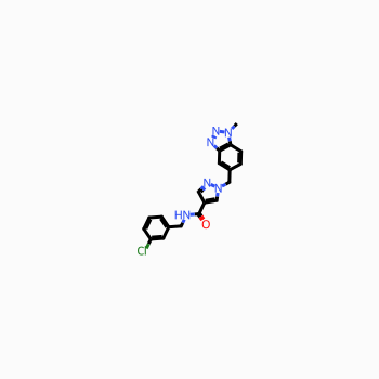 Cn1nnc2cc(Cn3cc(C(=O)NCc4cccc(Cl)c4)cn3)ccc21